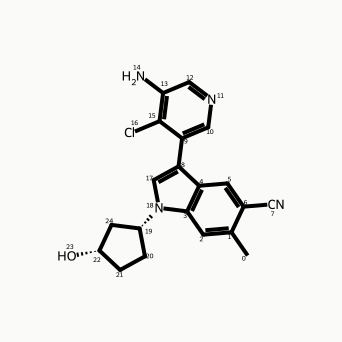 Cc1cc2c(cc1C#N)c(-c1cncc(N)c1Cl)cn2[C@@H]1CC[C@H](O)C1